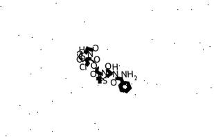 CC1(C)SC2C(NC(=O)[C@H](N)c3ccccc3)C(=O)N2C1C(=O)COC(=O)[C@@H]1N2C(=O)C[C@@H]2S(=O)(=O)[C@@]1(C)CCl